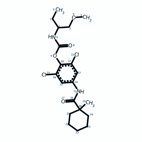 CCC(COC)NC(=O)Oc1c(Cl)cc(NC(=O)C2(C)CCCCC2)cc1Cl